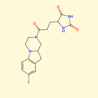 O=C1NC(=O)C(CCC(=O)N2CCN3c4ccc(F)cc4CC3C2)N1